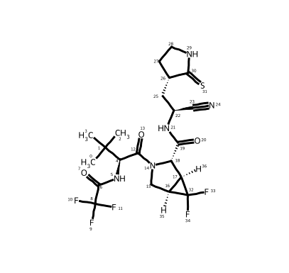 CC(C)(C)[C@H](NC(=O)C(F)(F)F)C(=O)N1C[C@H]2[C@@H]([C@H]1C(=O)N[C@H](C#N)C[C@@H]1CCNC1=S)C2(F)F